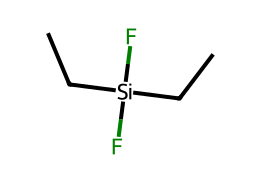 CC[Si](F)(F)CC